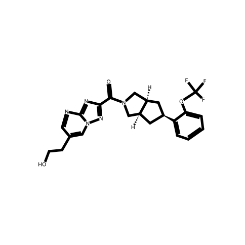 O=C(c1nc2ncc(CCO)cn2n1)N1C[C@H]2C[C@@H](c3ccccc3OC(F)(F)F)C[C@H]2C1